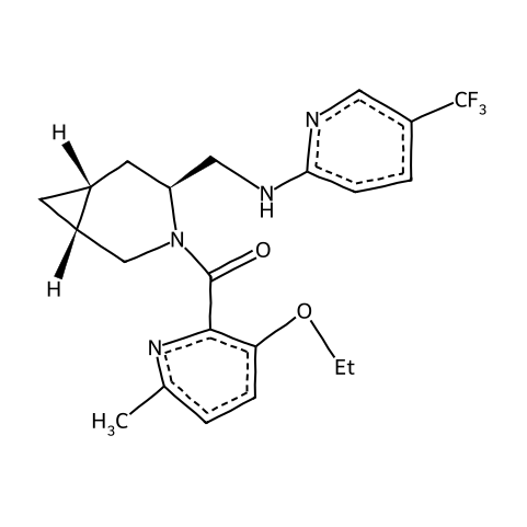 CCOc1ccc(C)nc1C(=O)N1C[C@@H]2C[C@@H]2C[C@H]1CNc1ccc(C(F)(F)F)cn1